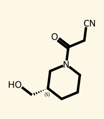 N#CCC(=O)N1CCC[C@H](CO)C1